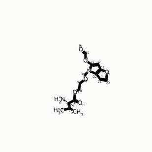 CC(C)[C@H](N)C(=O)OCCOCn1c(OC=O)cc2occc21